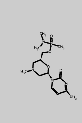 CN1C[C@@H](COP(C)(=O)N(C)C)O[C@@H](n2ccc(N)nc2=O)C1